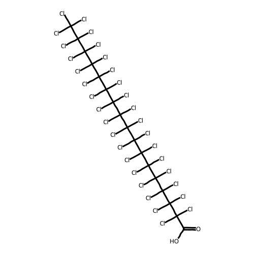 O=C(O)C(Cl)(Cl)C(Cl)(Cl)C(Cl)(Cl)C(Cl)(Cl)C(Cl)(Cl)C(Cl)(Cl)C(Cl)(Cl)C(Cl)(Cl)C(Cl)(Cl)C(Cl)(Cl)C(Cl)(Cl)C(Cl)(Cl)C(Cl)(Cl)C(Cl)(Cl)C(Cl)(Cl)C(Cl)(Cl)Cl